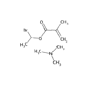 C=C(C)C(=O)OC(C)Br.CN(C)C